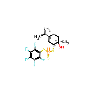 C=C(C)[C@H]1CC[C@@](C)(O)[C@H](S[PH](=S)Sc2c(F)c(F)c(F)c(F)c2F)C1